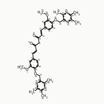 COc1cc(C=CC(=O)CC(=O)C=Cc2ccc(OCc3nc(C)c(C)nc3C)c(OC)c2)ccc1OCc1nc(C)c(C)nc1C